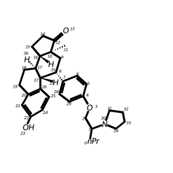 CCCC(COc1ccc([C@H]2C[C@]3(C)C(=O)CC[C@H]3[C@@H]3CCc4cc(O)ccc4[C@H]32)cc1)N1CCCC1